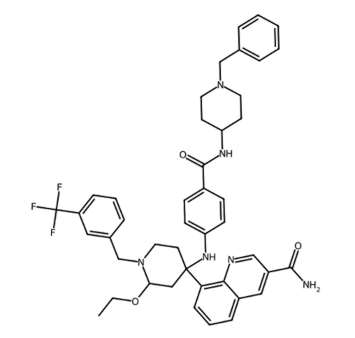 CCOC1CC(Nc2ccc(C(=O)NC3CCN(Cc4ccccc4)CC3)cc2)(c2cccc3cc(C(N)=O)cnc23)CCN1Cc1cccc(C(F)(F)F)c1